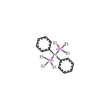 CC[PH](CC)(CC)[Pt]([c]1ccccc1)([c]1ccccc1)[PH](CC)(CC)CC